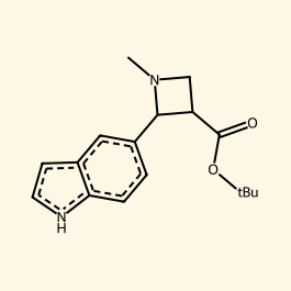 CN1CC(C(=O)OC(C)(C)C)C1c1ccc2[nH]ccc2c1